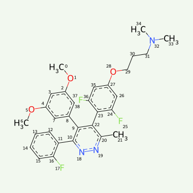 COc1cc(OC)cc(-c2c(-c3ccccc3F)nnc(C)c2-c2c(F)cc(OCCCN(C)C)cc2F)c1